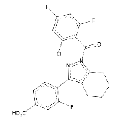 O=C(O)c1ccc(-c2nn(C(=O)c3c(F)cc(F)cc3Cl)c3c2CCCC3)c(F)c1